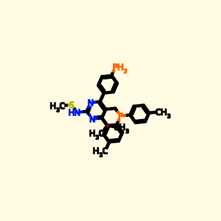 CSNc1nc(-c2ccc(P)cc2)c(CP(c2ccc(C)cc2)c2ccc(C)cc2)c(C(C)C)n1